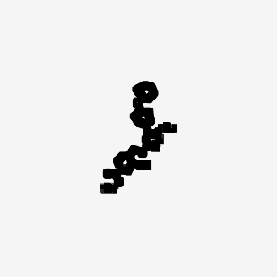 CCCCc1nnc(OCC2CCN(C(=O)OC(C)(C)C)CC2O)cc1-c1ccc(OC2CCCCC2)cc1